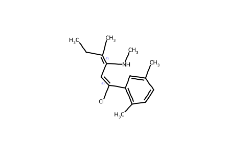 CC/C(C)=C(\C=C(\Cl)c1cc(C)ccc1C)NC